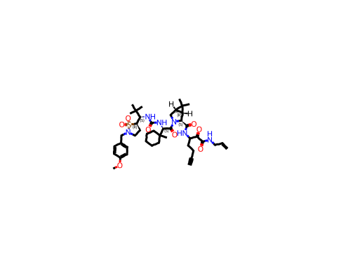 C#CCCC(NC(=O)[C@@H]1[C@@H]2[C@H](CN1C(=O)[C@@H](NC(=O)N[C@H]([C@H]1CCN(Cc3ccc(OC)cc3)S1(=O)=O)C(C)(C)C)C1(C)CCCCC1)C2(C)C)C(=O)C(=O)NCC=C